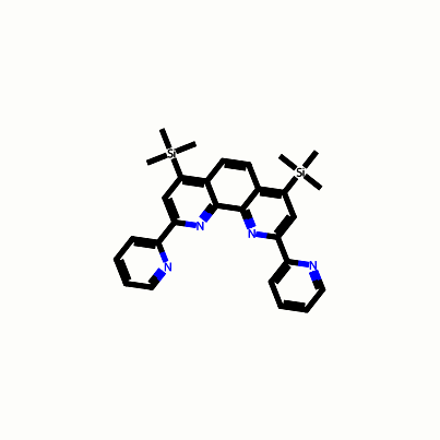 C[Si](C)(C)c1cc(-c2ccccn2)nc2c1ccc1c([Si](C)(C)C)cc(-c3ccccn3)nc12